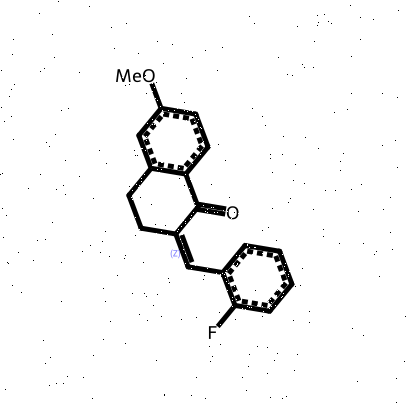 COc1ccc2c(c1)CC/C(=C/c1ccccc1F)C2=O